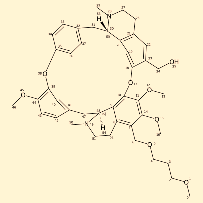 COCCCOCc1c2c3c(c(OC)c1OC)Oc1cc4c(cc1CO)CCN(C)[C@H]4Cc1ccc(cc1)Oc1cc(ccc1OC)C[C@@H]3N(C)CC2